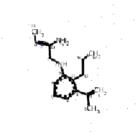 C=C(C)c1cccc(NC/C(N)=C/C)c1CCC